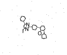 Ic1cc(-c2ccccc2)nc(-c2ccc(-c3cccc4c3oc3ccccc34)cc2)n1